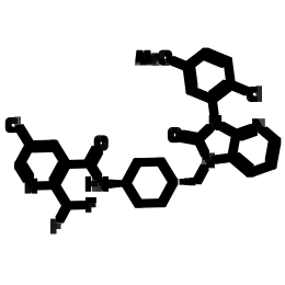 COc1ccc(Cl)c(-n2c(=O)n(C[C@H]3CC[C@H](NC(=O)c4cc(Cl)cnc4C(F)F)CC3)c3cccnc32)c1